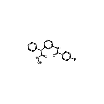 O=C(Nc1cccc(C(C(=O)NO)c2ccccc2)c1)c1ccc(F)cc1